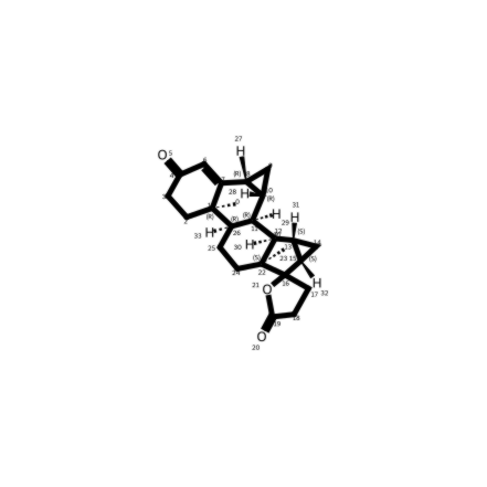 C[C@]12CCC(=O)C=C1[C@@H]1C[C@@H]1[C@H]1[C@H]3[C@@H]4C[C@@H]4C4(CCC(=O)O4)[C@@]3(C)CC[C@H]12